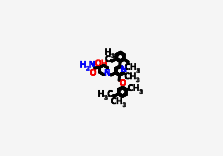 CCc1cccc(CC)c1-c1cc(CN2CCC(O)(C(N)=O)CC2)c(COc2cc(C(C)C)ccc2C)c(C)n1